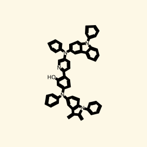 C=c1c(=C)n(-c2ccccc2)c2ccc(N(c3ccccc3)c3ccc(-c4ccc(N(c5ccccc5)c5ccc6c(c5)c5ccccc5n6-c5ccccc5)cn4)c(O)c3)cc12